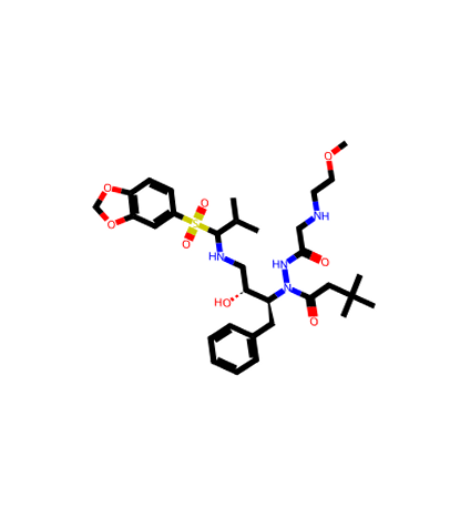 COCCNCC(=O)NN(C(=O)CC(C)(C)C)[C@@H](Cc1ccccc1)[C@H](O)CNC(C(C)C)S(=O)(=O)c1ccc2c(c1)OCO2